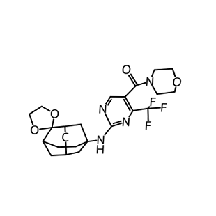 O=C(c1cnc(NC23CCC4CC(CC(C2)C42OCCO2)C3)nc1C(F)(F)F)N1CCOCC1